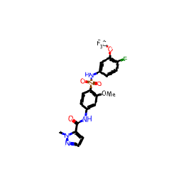 COc1cc(NC(=O)c2ccnn2C)ccc1S(=O)(=O)Nc1ccc(F)c(OC(F)(F)F)c1